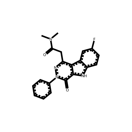 CN(C)C(=O)Cc1nn(-c2ccccc2)c(=O)c2[nH]c3ccc(F)cc3c12